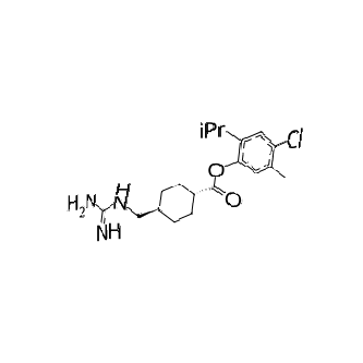 Cc1cc(OC(=O)[C@H]2CC[C@H](CNC(=N)N)CC2)c(C(C)C)cc1Cl